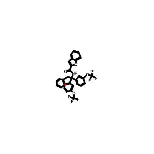 O=C(NC(Cc1ccccc1)(c1cccc(OC(F)(F)F)c1)c1cccc(OC(F)(F)F)c1)c1cc2ccccc2o1